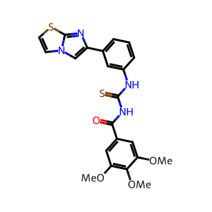 COc1cc(C(=O)NC(=S)Nc2cccc(-c3cn4ccsc4n3)c2)cc(OC)c1OC